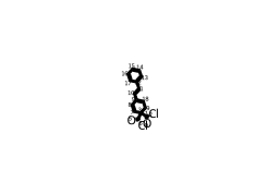 O=C(Cl)C1(C(=O)Cl)C=CC(C=Cc2ccccc2)=CC1